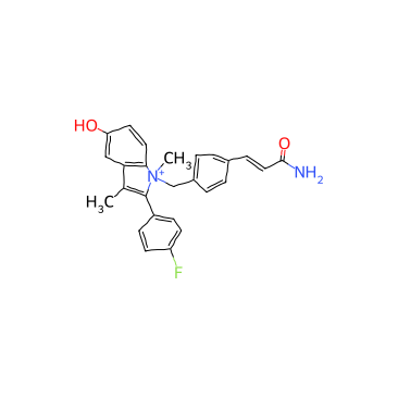 CC1=C(c2ccc(F)cc2)[N+](C)(Cc2ccc(C=CC(N)=O)cc2)c2ccc(O)cc21